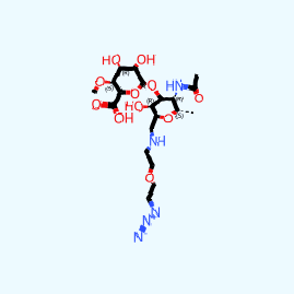 CO[C@@H]1C(C(=O)O)O[C@@H](OC2[C@H](O)C(CNCCOCCN=[N+]=[N-])O[C@@H](C)[C@H]2NC(C)=O)C(O)[C@H]1O